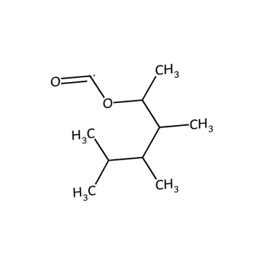 CC(C)C(C)C(C)C(C)O[C]=O